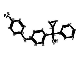 OC(c1cncnc1)(c1ccc(Oc2ccc(C(F)(F)F)cc2)cn1)C1CC1